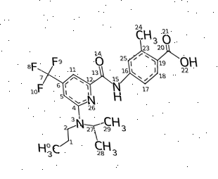 CCCN(c1cc(C(F)(F)F)cc(C(=O)Nc2ccc(C(=O)O)c(C)c2)n1)C(C)C